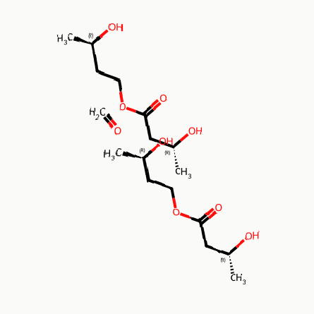 C=O.C[C@@H](O)CCOC(=O)C[C@@H](C)O.C[C@@H](O)CCOC(=O)C[C@@H](C)O